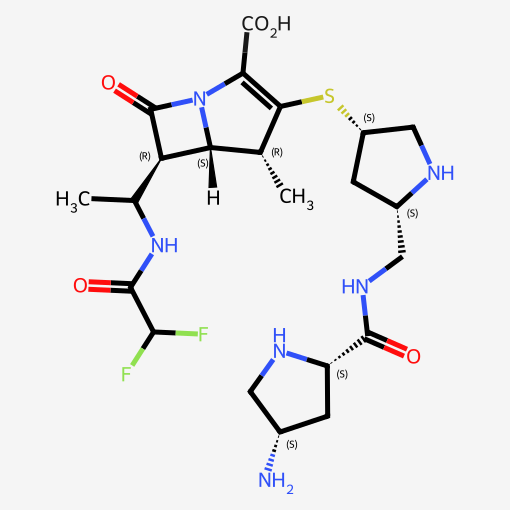 CC(NC(=O)C(F)F)[C@H]1C(=O)N2C(C(=O)O)=C(S[C@@H]3CN[C@H](CNC(=O)[C@@H]4C[C@H](N)CN4)C3)[C@H](C)[C@H]12